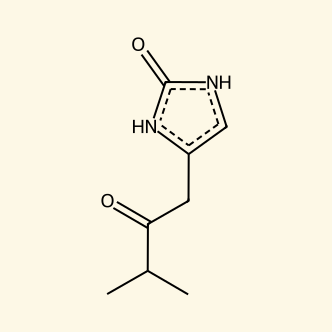 CC(C)C(=O)Cc1c[nH]c(=O)[nH]1